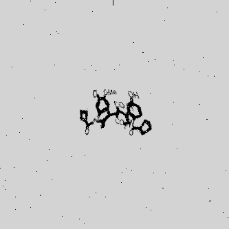 COc1cc2c(C(C(=O)O)C(C(=O)O)c3c(C)n(C(=O)C4CCCC4)c4ccc(O)cc34)c(C)n(C(=O)C3CCC3)c2cc1Cl